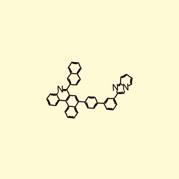 c1cc(-c2ccc(-c3cc4c(-c5ccc6ccccc6c5)nc5ccccc5c4c4ccccc34)cc2)cc(-c2cn3ccccc3n2)c1